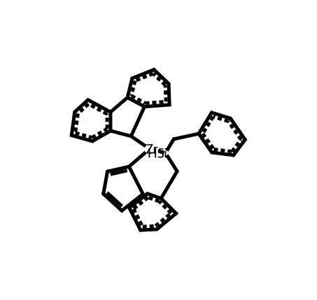 C1=CC[C]([Zr]([CH]2c3ccccc3-c3ccccc32)[SiH](Cc2ccccc2)Cc2ccccc2)=C1